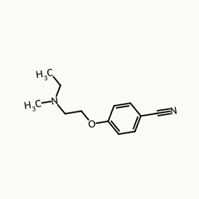 CCN(C)CCOc1ccc(C#N)cc1